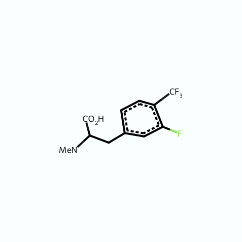 CNC(Cc1ccc(C(F)(F)F)c(F)c1)C(=O)O